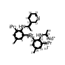 CC(Nc1c(C(C)C)cc(C)cc1C(C)C)=C1C=CC=NC1.C[C](=[Nd+])Nc1c(C(C)C)cc(C)cc1C(C)C.[I-]